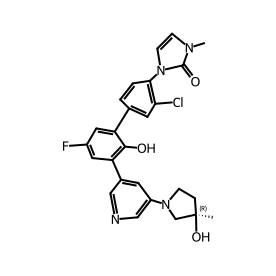 Cn1ccn(-c2ccc(-c3cc(F)cc(-c4cncc(N5CC[C@@](C)(O)C5)c4)c3O)cc2Cl)c1=O